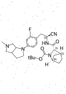 CN1CC2CCN(c3ccc(C[C@@H](C#N)NC(=O)[C@@H]4[C@H]5CC[C@H](C5)N4C(=O)OC(C)(C)C)c(F)c3)C2C1